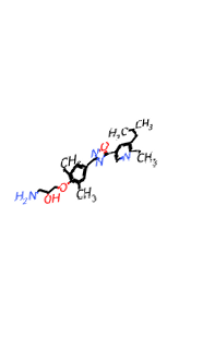 CCc1cc(-c2noc(-c3cnc(CC)c(CC(C)C)c3)n2)cc(C)c1OCC(O)CN